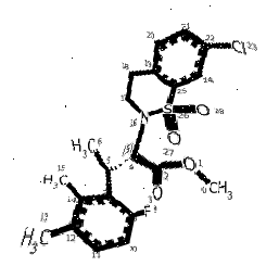 COC(=O)[C@H](C(C)c1c(F)ccc(C)c1C)N1CCc2ccc(Cl)cc2S1(=O)=O